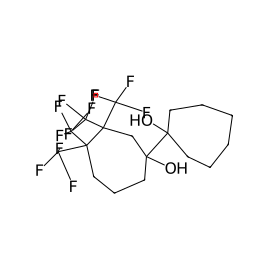 OC1(C2(O)CCCC(C(F)(F)F)(C(F)(F)F)C(C(F)(F)F)(C(F)(F)F)C2)CCCCCC1